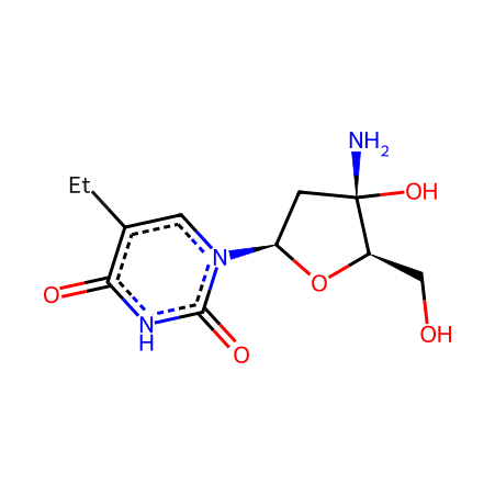 CCc1cn([C@H]2C[C@](N)(O)[C@@H](CO)O2)c(=O)[nH]c1=O